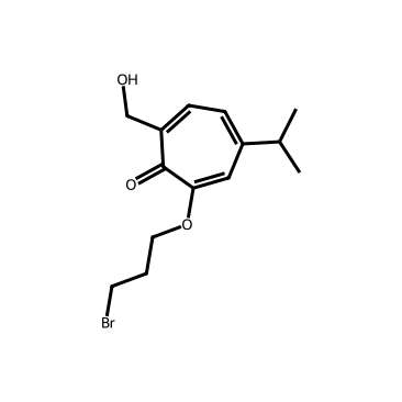 CC(C)c1ccc(CO)c(=O)c(OCCCBr)c1